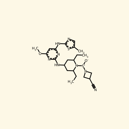 CCC1CC(Nc2nc(Nc3ncc(C)s3)cc(OC)n2)CC(CC)N1[S+]([O-])N1CC(C#N)C1